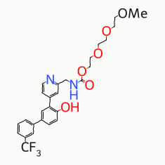 COCCOCCOCCOC(=O)NCc1cc(-c2cc(-c3cccc(C(F)(F)F)c3)ccc2O)ccn1